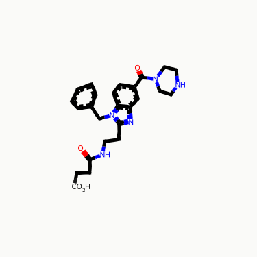 O=C(O)CCC(=O)NCCc1nc2cc(C(=O)N3CCNCC3)ccc2n1Cc1ccccc1